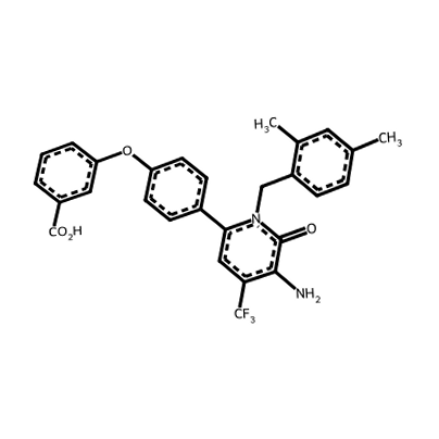 Cc1ccc(Cn2c(-c3ccc(Oc4cccc(C(=O)O)c4)cc3)cc(C(F)(F)F)c(N)c2=O)c(C)c1